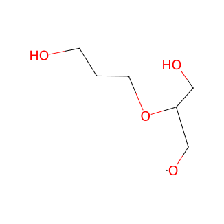 [O]CC(CO)OCCCO